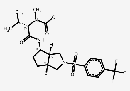 CC(C)[C@@H](C(=O)N[C@@H]1CC[C@H]2CN(S(=O)(=O)c3ccc(C(F)(F)F)cc3)C[C@H]21)N(C)C(=O)O